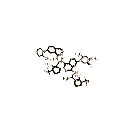 Cc1c([C@H](Nc2nncc3ccc(N4CCOCC4C)cc23)Nc2nnc(N[C@H](N)c3cccc(C(F)(F)F)c3C)c3cc(N4CC(=O)N(C)CC4C)ccc23)cccc1C(F)(F)F